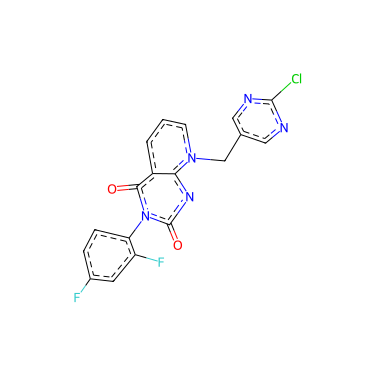 O=c1nc2n(Cc3cnc(Cl)nc3)cccc-2c(=O)n1-c1ccc(F)cc1F